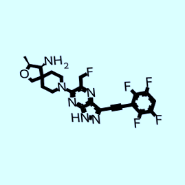 C[C@@H]1OCC2(CCN(c3nc4[nH]nc(C#Cc5c(F)c(F)cc(F)c5F)c4nc3CF)CC2)[C@@H]1N